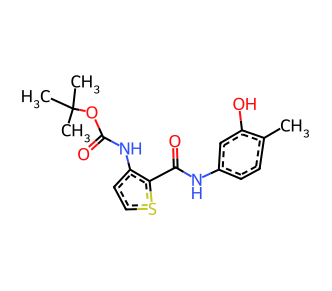 Cc1ccc(NC(=O)c2sccc2NC(=O)OC(C)(C)C)cc1O